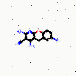 N#Cc1c(N)nc2c(c1N)Cc1cc(N)ccc1O2